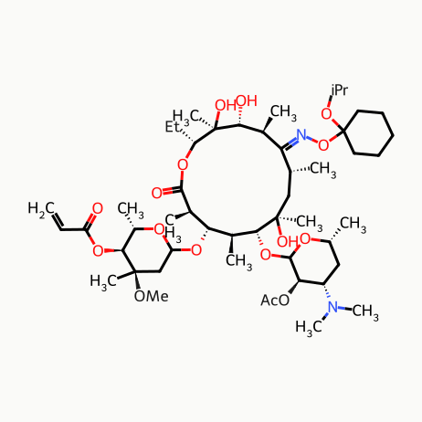 C=CC(=O)O[C@H]1[C@H](C)OC(O[C@H]2[C@H](C)[C@@H](OC3O[C@H](C)C[C@H](N(C)C)[C@H]3OC(C)=O)[C@](C)(O)C[C@@H](C)/C(=N\OC3(OC(C)C)CCCCC3)[C@H](C)[C@@H](O)[C@](C)(O)[C@@H](CC)OC(=O)[C@@H]2C)C[C@@]1(C)OC